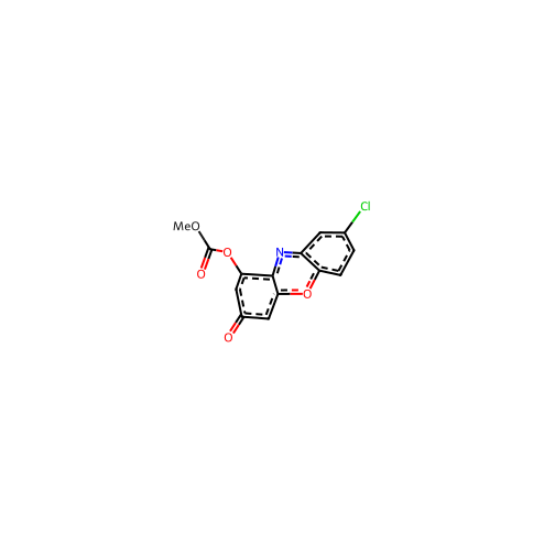 COC(=O)Oc1cc(=O)cc2oc3ccc(Cl)cc3nc1-2